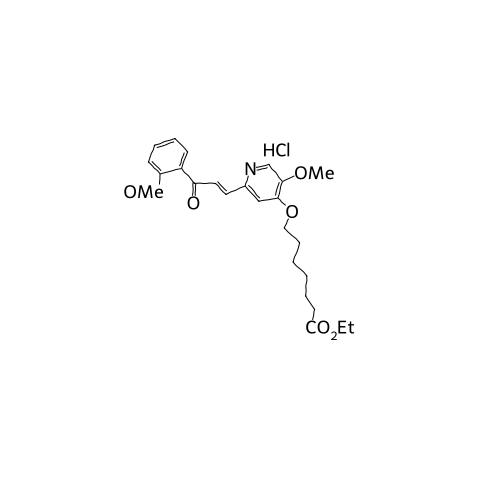 CCOC(=O)CCCCCCOc1cc(C=CC(=O)c2ccccc2OC)ncc1OC.Cl